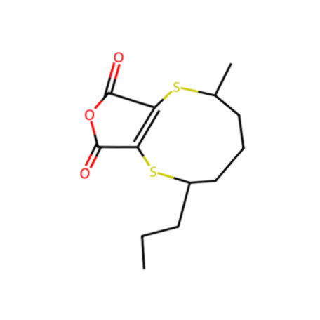 CCCC1CCCC(C)SC2=C(S1)C(=O)OC2=O